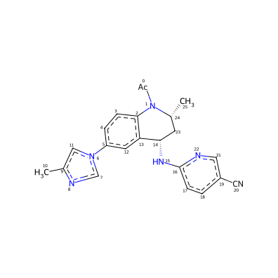 CC(=O)N1c2ccc(-n3cnc(C)c3)cc2[C@@H](Nc2ccc(C#N)cn2)C[C@H]1C